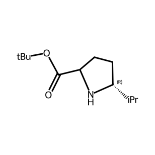 CC(C)[C@H]1CCC(C(=O)OC(C)(C)C)N1